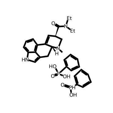 CCN(CC)C(=O)[C@@H]1C=C2c3cccc4[nH]cc(c34)C[C@H]2N(C)C1.O=P(O)(O)c1ccccc1.O=[PH](O)c1ccccc1